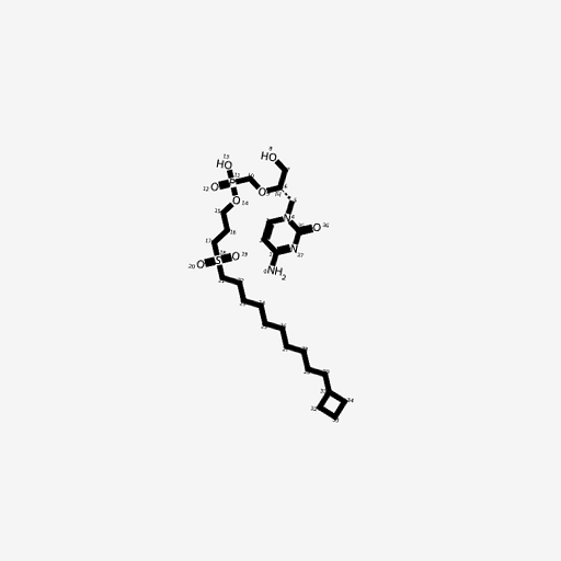 Nc1ccn(C[C@@H](CO)OCP(=O)(O)OCCCS(=O)(=O)CCCCCCCCCCC2CCC2)c(=O)n1